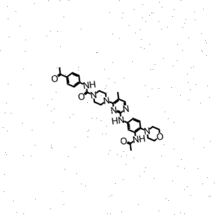 CC(=O)Nc1cc(Nc2ncc(C)c(N3CCN(C(=O)Nc4ccc(C(C)=O)cc4)CC3)n2)ccc1N1CCOCC1